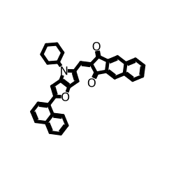 O=C1C(=Cc2cc3oc(-c4cccc5ccccc45)cc3n2C2CCCCC2)C(=O)c2cc3ccccc3cc21